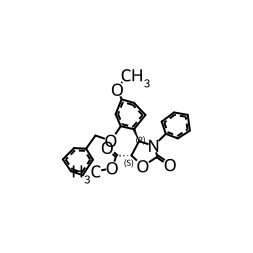 COC(=O)[C@H]1OC(=O)N(c2ccccc2)[C@@H]1c1ccc(OC)cc1OCc1ccccc1